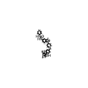 O=C(Nc1ccncc1)Nc1ccc2c(cnn2C2CCN(Cc3ccc(C(O)(C(F)(F)F)C(F)(F)F)cc3)CC2)c1